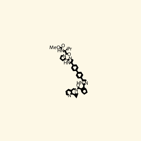 COC(=O)N[C@H](C(=O)N1CCC[C@H]1c1ncc(-c2ccc(-c3ccc(-c4cnc(C5C6CCC(C6)C5C(=O)NCc5cccnc5C5CC5)[nH]4)cc3)cc2)[nH]1)C(C)C